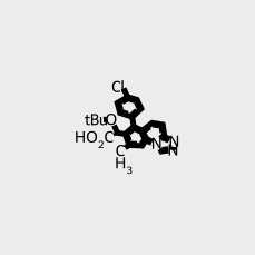 Cc1cc2c(ccc3nncn32)c(-c2ccc(Cl)cc2)c1[C@H](OC(C)(C)C)C(=O)O